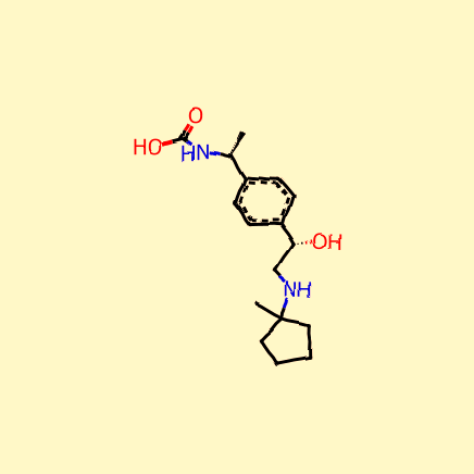 C[C@H](NC(=O)O)c1ccc([C@H](O)CNC2(C)CCCC2)cc1